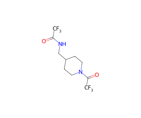 O=C(NCC1CCN(C(=O)C(F)(F)F)CC1)C(F)(F)F